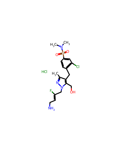 Cc1nn(CC(F)=CCN)c(CO)c1Cc1ccc(S(=O)(=O)N(C)C)cc1Cl.Cl